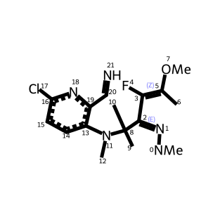 CN/N=C(/C(F)=C(\C)OC)C(C)(C)N(C)c1ccc(Cl)nc1C=N